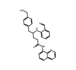 O=Cc1ccccc1NC(CCC(=O)Nc1cccc2cccnc12)Cc1ccc(CO)cc1